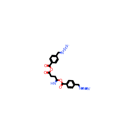 [N-]=[N+]=NCc1ccc(C(=O)OC(=N)CCC(=O)OC(=O)c2ccc(CN=[N+]=[N-])cc2)cc1